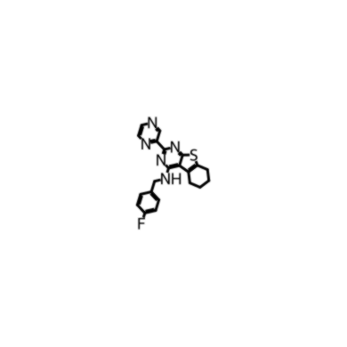 Fc1ccc(CNc2nc(-c3cnccn3)nc3sc4c(c23)CCCC4)cc1